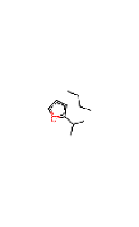 CC(C)c1ccco1.CCCC